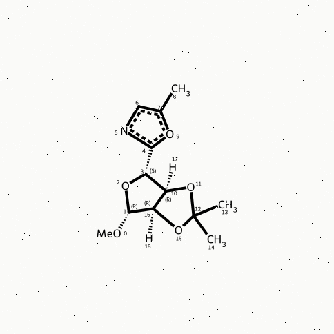 CO[C@@H]1O[C@H](c2ncc(C)o2)[C@H]2OC(C)(C)O[C@@H]12